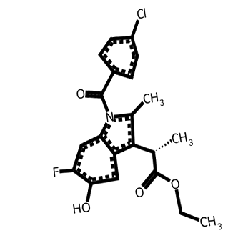 CCOC(=O)[C@@H](C)c1c(C)n(C(=O)c2ccc(Cl)cc2)c2cc(F)c(O)cc12